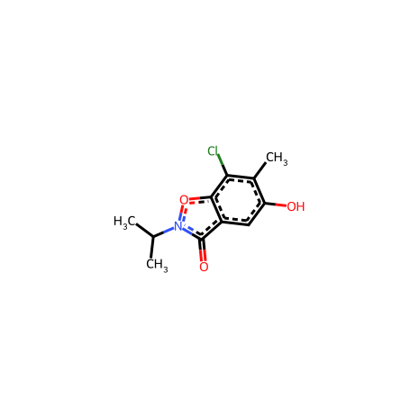 Cc1c(O)cc2c(=O)n(C(C)C)oc2c1Cl